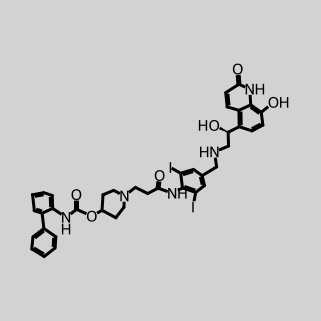 O=C(CCN1CCC(OC(=O)Nc2ccccc2-c2ccccc2)CC1)Nc1c(I)cc(CNC[C@@H](O)c2ccc(O)c3[nH]c(=O)ccc23)cc1I